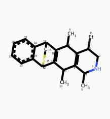 CCC1CNC(C)C2=C1C(C)C1=C(C2C)C2SCC1c1ccccc12